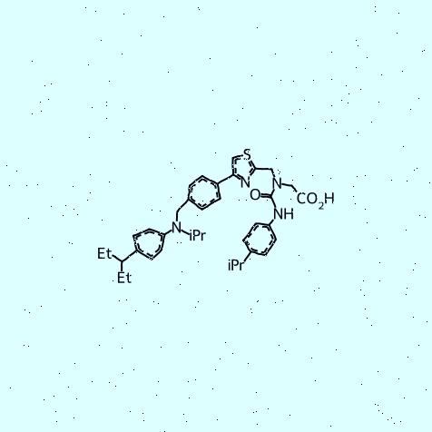 CCC(CC)c1ccc(N(Cc2ccc(-c3csc(CN(CC(=O)O)C(=O)Nc4ccc(C(C)C)cc4)n3)cc2)C(C)C)cc1